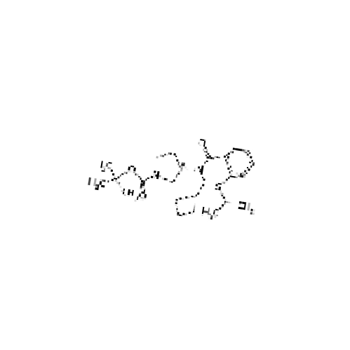 CC(C)Sc1ccccc1C(=O)N(CC1CCC1)[C@H]1CCN(C(=O)OC(C)(C)C)C1